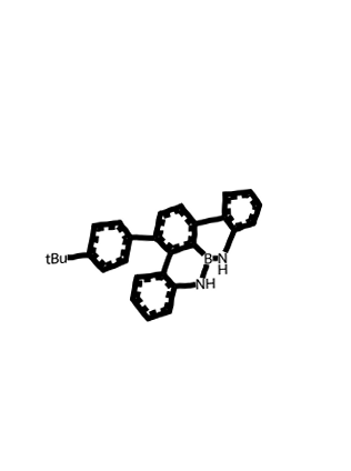 CC(C)(C)c1ccc(-c2ccc3c4c2-c2ccccc2NB4Nc2ccccc2-3)cc1